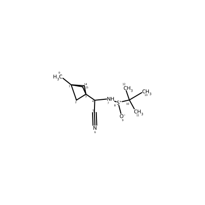 CC12CC(C(C#N)N[S+]([O-])C(C)(C)C)(C1)C2